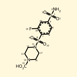 NS(=O)(=O)c1ccc(S(=O)(=O)N2CCN(C(=O)O)CC2)c(F)c1